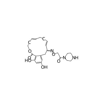 O=C1OCC/C=C/CC/C=C/C(=NOCC(=O)N2CCNCC2)Cc2cc(O)cc(O)c21